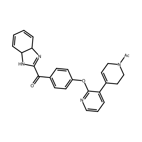 CC(=O)N1CC=C(c2cccnc2Oc2ccc(C(=O)C3=NC4C=CC=CC4N3)cc2)CC1